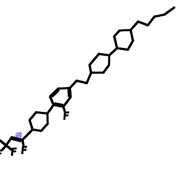 CCCCCC1CCC(C2CCC(CCc3ccc(C4CCC(/C(F)=C/C(F)(F)F)CC4)c(F)c3)CC2)CC1